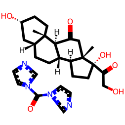 C[C@]12CC[C@@H](O)C[C@H]1CC[C@@H]1[C@@H]2C(=O)C[C@@]2(C)[C@H]1CC[C@]2(O)C(=O)CO.O=C(n1ccnc1)n1ccnc1